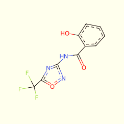 O=C(Nc1noc(C(F)(F)F)n1)c1ccccc1O